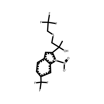 CC(O)(CSCC(F)(F)F)c1cc2ccc(C(F)(F)F)cc2n1[N+](=O)[O-]